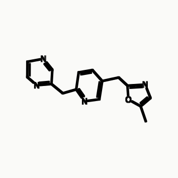 Cc1cnc(Cc2ccc(Cc3cnccn3)nc2)o1